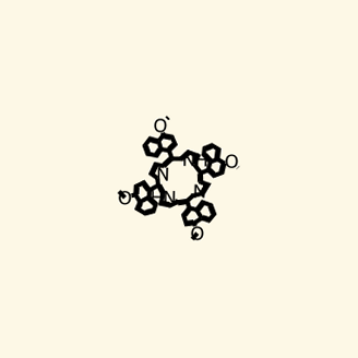 COc1ccc(-c2c3nc(c(-c4ccc(OC)c5ccccc45)c4ccc([nH]4)c(-c4ccc(OC)c5ccccc45)c4nc(c(-c5ccc(OC)c6ccccc56)c5ccc2[nH]5)C=C4)C=C3)c2ccccc12